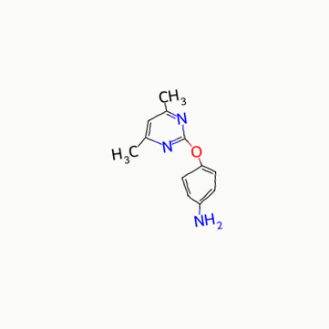 Cc1cc(C)nc(Oc2ccc(N)cc2)n1